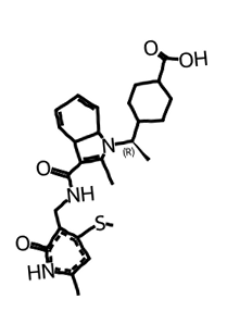 CSc1cc(C)[nH]c(=O)c1CNC(=O)C1=C(C)N([C@H](C)C2CCC(C(=O)O)CC2)C2C=CC=CC12